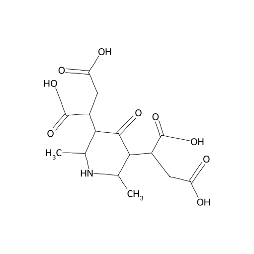 CC1NC(C)C(C(CC(=O)O)C(=O)O)C(=O)C1C(CC(=O)O)C(=O)O